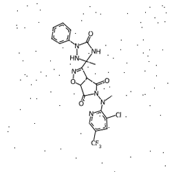 CN(c1ncc(C(F)(F)F)cc1Cl)N1C(=O)C2ON=C(C3(C)NC(=O)N(c4ccccc4)N3)C2C1=O